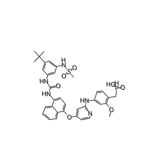 COc1cc(Nc2cc(Oc3ccc(NC(=O)Nc4cc(NS(C)(=O)=O)cc(C(C)(C)C)c4)c4ccccc34)ccn2)ccc1C[PH](=O)O